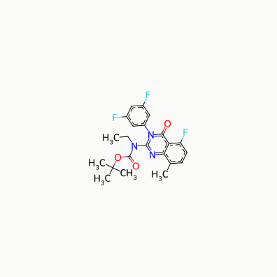 CCN(C(=O)OC(C)(C)C)c1nc2c(C)ccc(F)c2c(=O)n1-c1cc(F)cc(F)c1